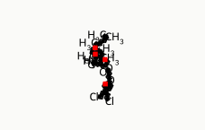 CC(C)CCCC(C)[C@H]1CC[C@@]2(C)[C@@H]3NC(=O)C=C4C[C@@H](OC(=O)CCOc5ccc(N(CCCl)CCCl)cc5)CC[C@]4(C)[C@@]3(C)CC[C@]12C